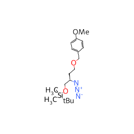 COc1ccc(COCC[C@H](CO[Si](C)(C)C(C)(C)C)N=[N+]=[N-])cc1